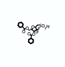 O=C(OC[C@H]1OC(CS(=O)(=O)O)C(F)(F)[C@@H]1OC(=O)c1ccccc1)c1ccccc1